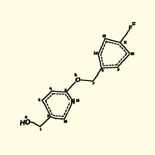 OCc1ccc(OCc2ccc(F)cc2)nc1